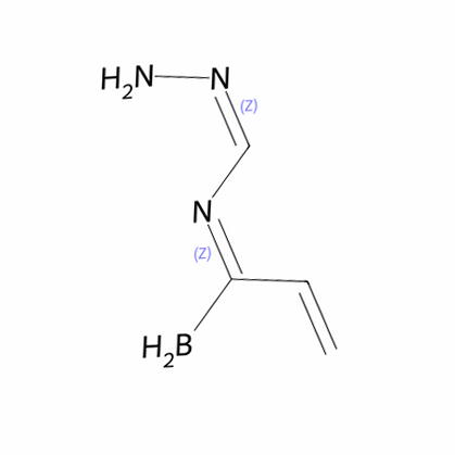 B/C(C=C)=N/C=N\N